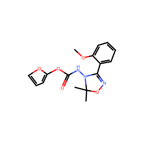 COc1ccccc1C1=NOC(C)(C)N1NC(=O)Oc1ccco1